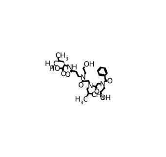 CC(C)C[C@H](NC(=O)CCN(CCO)C(=O)CN(CC(C)C)C(=O)CN(CCO)C(=O)c1ccccc1)C(=O)O